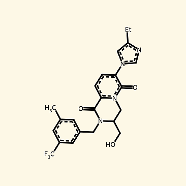 CCc1cn(-c2ccc3n(c2=O)CC(CO)N(Cc2cc(C)cc(C(F)(F)F)c2)C3=O)cn1